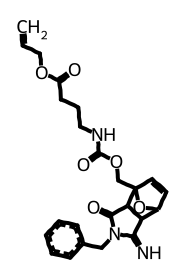 C=CCOC(=O)CCCNC(=O)OCC12C=CC(O1)C1C(=N)N(Cc3ccccc3)C(=O)C12